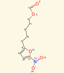 O=COCCCCCc1ccc([N+](=O)[O-])o1